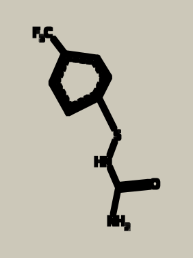 NC(=O)NSc1ccc(C(F)(F)F)cc1